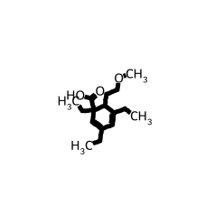 CCC1=CC(CC)(C(=O)O)C(CCOC)C(CC)=C1